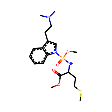 COC(=O)C(CCSC)NP(=O)(OC)n1cc(CCN(C)C)c2ccccc21